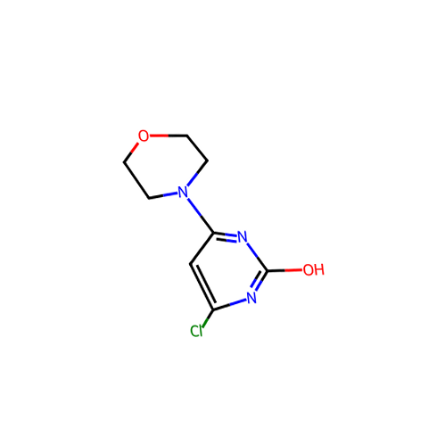 Oc1nc(Cl)cc(N2CCOCC2)n1